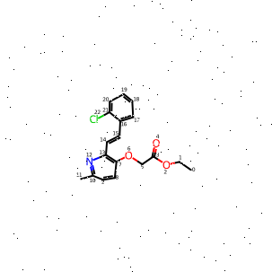 CCOC(=O)COc1ccc(C)nc1C=Cc1ccccc1Cl